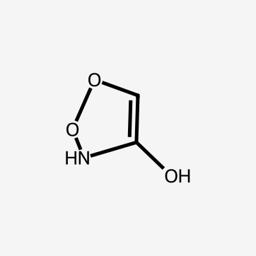 OC1=COON1